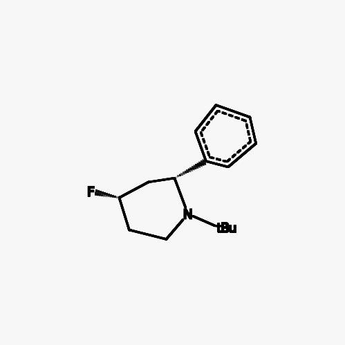 CC(C)(C)N1CC[C@H](F)C[C@@H]1c1ccccc1